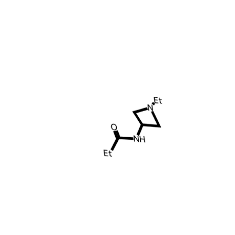 CCC(=O)NC1CN(CC)C1